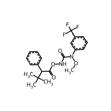 CON(C(=O)NOC(=O)C(c1ccccc1)C(C)(C)C)c1cccc(C(F)(F)F)c1